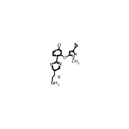 Cn1nc(C2CC2)cc1Oc1cc(Cl)ccc1-c1ncc([C@H](F)CN)cn1